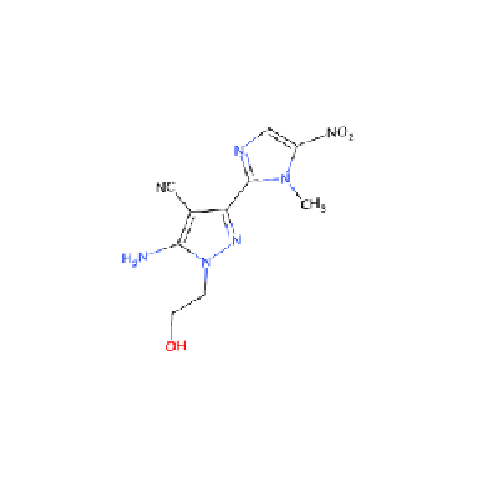 Cn1c([N+](=O)[O-])cnc1-c1nn(CCO)c(N)c1C#N